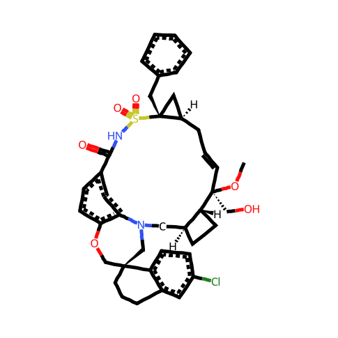 CO[C@]1(CO)/C=C/C[C@@H]2C[C@@]2(Cc2ccccc2)S(=O)(=O)NC(=O)c2ccc3c(c2)N(C[C@@H]2CC[C@H]21)C[C@@]1(CCCc2cc(Cl)ccc21)CO3